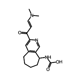 CN(C)/C=C/C(=O)c1cc2c(cn1)C(NC(=O)O)CCCC2